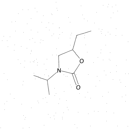 CCC1CN(C(C)C)C(=O)O1